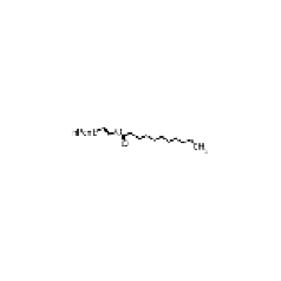 C=CCCCCCCCCC(=O)OC=CCCCCC